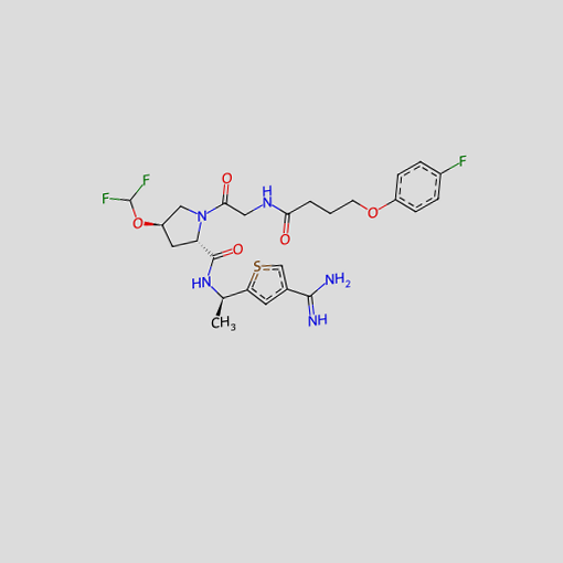 C[C@@H](NC(=O)[C@@H]1C[C@@H](OC(F)F)CN1C(=O)CNC(=O)CCCOc1ccc(F)cc1)c1cc(C(=N)N)cs1